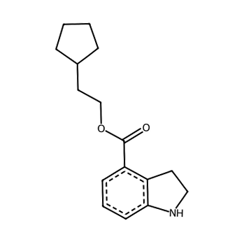 O=C(OCCC1CCCC1)c1cccc2c1CCN2